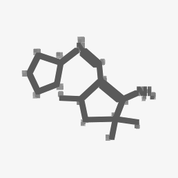 CC1CC(C)(C)C(N)=C1/C=N\C1CCCC1